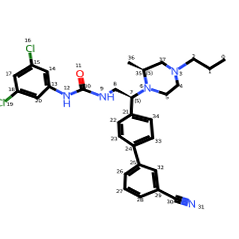 CCCN1CCN([C@H](CNC(=O)Nc2cc(Cl)cc(Cl)c2)c2ccc(-c3cccc(C#N)c3)cc2)[C@@H](C)C1